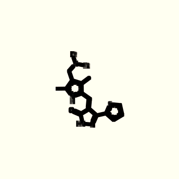 CCN(CC)Cc1c(C)[nH]c(C=C2C(=O)NN=C2c2cccs2)c1C